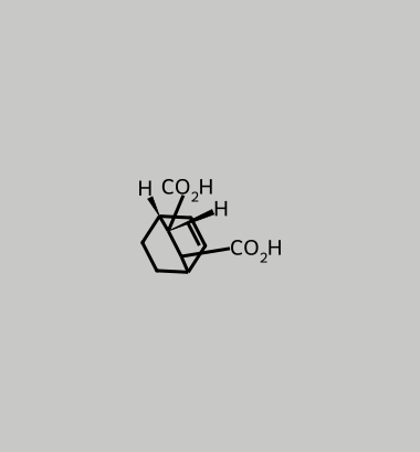 O=C(O)C1C2C=C[C@@H](CC2)[C@@H]1C(=O)O